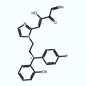 N#Cc1ccccc1[C@@H](CCn1ccnc1/C=C(\O)C(=O)C=N)c1ccc(F)cc1